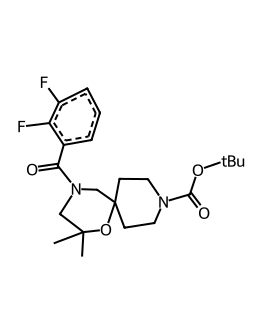 CC(C)(C)OC(=O)N1CCC2(CC1)CN(C(=O)c1cccc(F)c1F)CC(C)(C)O2